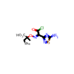 CC(C)(C)CC(C)(ON=C(C(=O)Cl)c1nsc(N)n1)C(=O)O